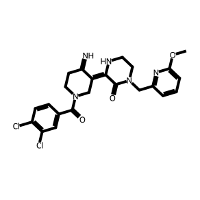 COc1cccc(CN2CCN/C(=C3/CN(C(=O)c4ccc(Cl)c(Cl)c4)CCC3=N)C2=O)n1